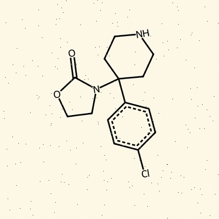 O=C1OCCN1C1(c2ccc(Cl)cc2)CCNCC1